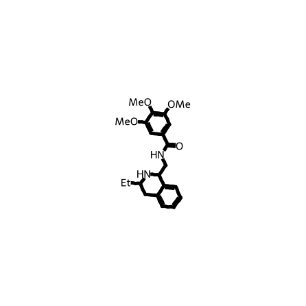 CCC1Cc2ccccc2C(CNC(=O)c2cc(OC)c(OC)c(OC)c2)N1